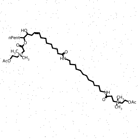 CCCCCC(OC(=O)C[N+](C)(C)CCOC(C)=O)C(O)C/C=C\CCCCCCCC(=O)NCCCCCCCCCCCCNC(=O)CC[N+](C)(C)CCOC(C)=O